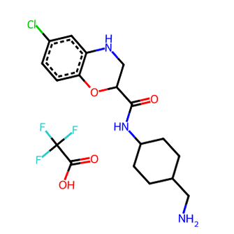 NCC1CCC(NC(=O)C2CNc3cc(Cl)ccc3O2)CC1.O=C(O)C(F)(F)F